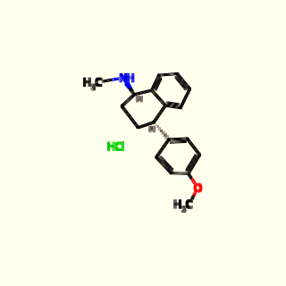 CN[C@@H]1CC[C@@H](c2ccc(OC)cc2)c2ccccc21.Cl